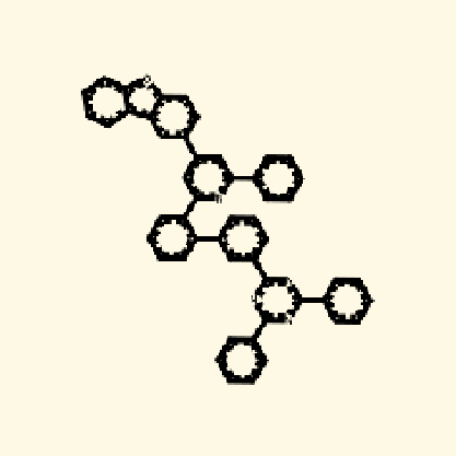 c1ccc(-c2cc(-c3ccc4oc5ccccc5c4c3)cc(-c3ccccc3-c3cccc(-c4nc(-c5ccccc5)nc(-c5ccccc5)n4)c3)n2)cc1